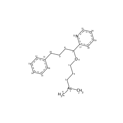 C[As](C)CCCOC(CCCc1ccccc1)c1ccccn1